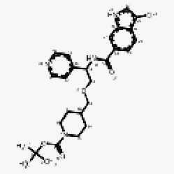 CC(C)(C)OC(=O)N1CCC(COCC(NC(=O)c2ccc3c(Cl)c[nH]c3c2)c2ccncc2)CC1